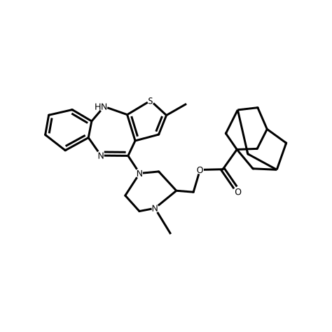 Cc1cc2c(s1)Nc1ccccc1N=C2N1CCN(C)C(COC(=O)C23CC4CC(CC(C4)C2)C3)C1